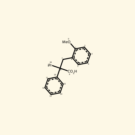 COc1ccccc1CC(C(=O)O)(c1ccccc1)C(C)C